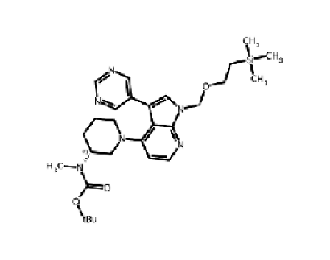 CN(C(=O)OC(C)(C)C)[C@@H]1CCCN(c2ccnc3c2c(-c2cncnc2)cn3COCC[Si](C)(C)C)C1